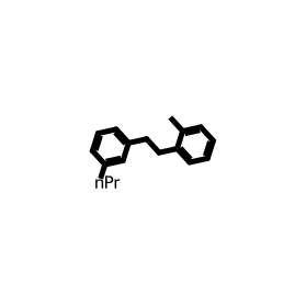 CCCc1cccc(CCc2ccccc2C)c1